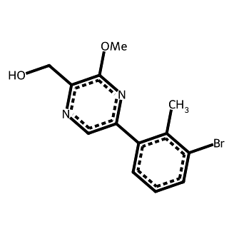 COc1nc(-c2cccc(Br)c2C)cnc1CO